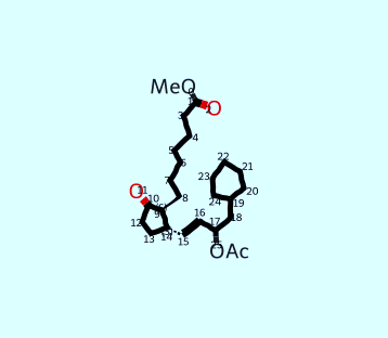 COC(=O)CCCCCC[C@@H]1C(=O)CC[C@H]1C=CC(CC1CCCCC1)OC(C)=O